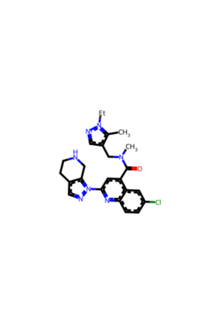 CCn1ncc(CN(C)C(=O)c2cc(-n3ncc4c3CNCC4)nc3ccc(Cl)cc23)c1C